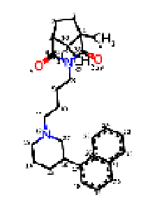 CC12CCC(C(=O)N(CCCCN3CCCC(c4cccc5ccccc45)C3)C1=O)C2(C)C